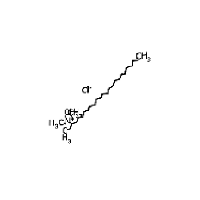 CCCCCCCCCCCCCCCCCCCCCCC(CC)[N+](CC)(CC)CC.[Cl-]